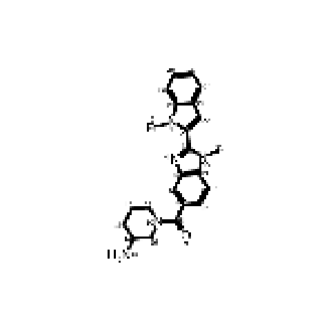 CCn1c(-c2nc3cc(C(=O)N4CCCC(N)C4)ccc3n2C)cc2ccccc21